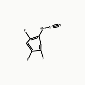 N#[N+]Nc1cc(F)c(F)cc1F